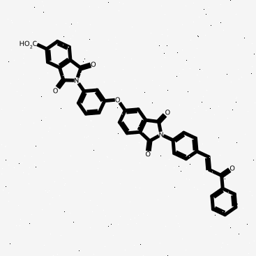 O=C(O)c1ccc2c(c1)C(=O)N(c1cccc(Oc3ccc4c(c3)C(=O)N(c3ccc(/C=C/C(=O)c5ccccc5)cc3)C4=O)c1)C2=O